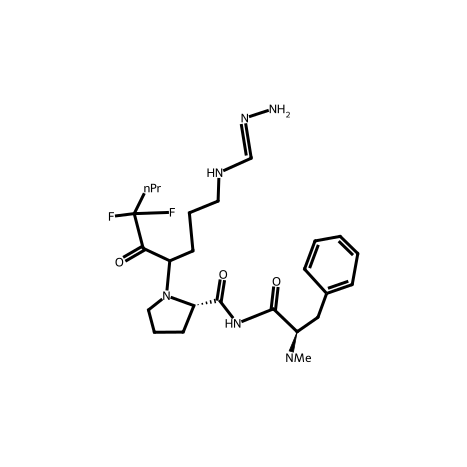 CCCC(F)(F)C(=O)C(CCCNC=NN)N1CCC[C@H]1C(=O)NC(=O)[C@@H](Cc1ccccc1)NC